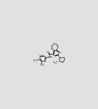 Cc1ncc(NC(=O)c2cc(N3CCC[C@@H]3C)nc3c2CCOCC3)nc1C